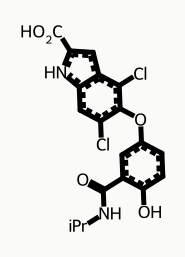 CC(C)NC(=O)c1cc(Oc2c(Cl)cc3[nH]c(C(=O)O)cc3c2Cl)ccc1O